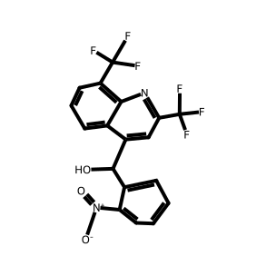 O=[N+]([O-])c1ccccc1C(O)c1cc(C(F)(F)F)nc2c(C(F)(F)F)cccc12